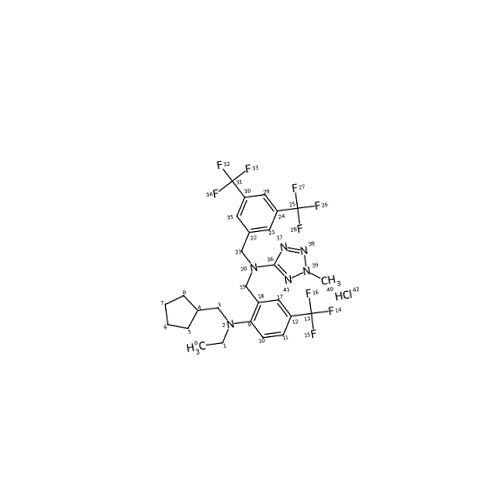 CCN(CC1CCCC1)c1ccc(C(F)(F)F)cc1CN(Cc1cc(C(F)(F)F)cc(C(F)(F)F)c1)c1nnn(C)n1.Cl